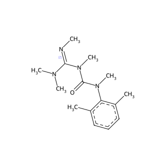 C/N=C(/N(C)C)N(C)C(=O)N(C)c1c(C)cccc1C